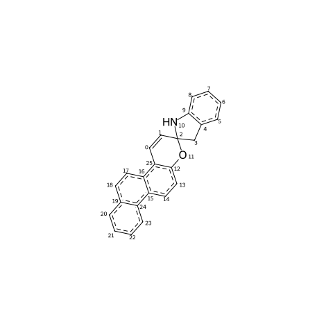 C1=CC2(Cc3ccccc3N2)Oc2ccc3c(ccc4ccccc43)c21